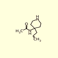 C=CCC1(NC(C)=O)CCNCC1